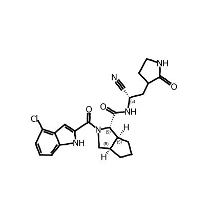 N#C[C@H](CC1CCNC1=O)NC(=O)[C@@H]1[C@H]2CCC[C@H]2CN1C(=O)c1cc2c(Cl)cccc2[nH]1